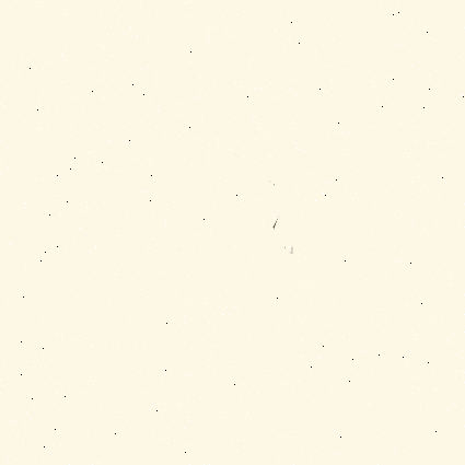 Cc1ccc(C(=O)CN2CCC[C@H]2C(=O)NC(=O)c2ccccc2)cc1